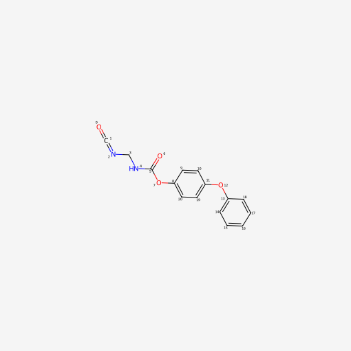 O=C=NCNC(=O)Oc1ccc(Oc2ccccc2)cc1